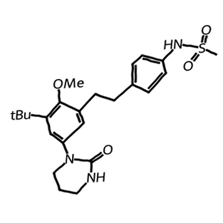 COc1c(CCc2ccc(NS(C)(=O)=O)cc2)cc(N2CCCNC2=O)cc1C(C)(C)C